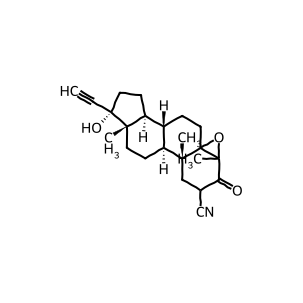 C#C[C@@]1(O)CC[C@H]2[C@@H]3CCC45OC4(C)C(=O)C(C#N)C[C@]5(C)[C@H]3CC[C@@]21C